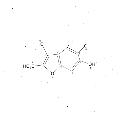 Cc1c(C(=O)O)oc2cc(O)c(Cl)cc12